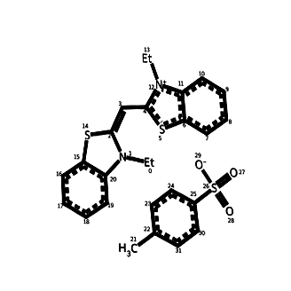 CCN1C(=Cc2sc3ccccc3[n+]2CC)Sc2ccccc21.Cc1ccc(S(=O)(=O)[O-])cc1